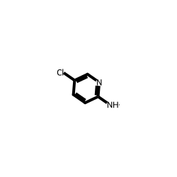 [NH]c1ccc(Cl)cn1